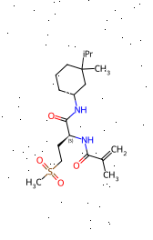 C=C(C)C(=O)N[C@@H](CCS(C)(=O)=O)C(=O)NC1CCCC(C)(C(C)C)C1